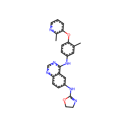 Cc1cc(Nc2ncnc3ccc(NC4=NCCO4)cc23)ccc1Oc1cccnc1C